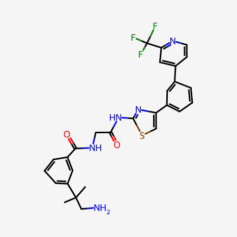 CC(C)(CN)c1cccc(C(=O)NCC(=O)Nc2nc(-c3cccc(-c4ccnc(C(F)(F)F)c4)c3)cs2)c1